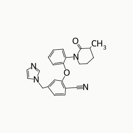 CC1CCCN(c2ccccc2Oc2cc(Cn3ccnc3)ccc2C#N)C1=O